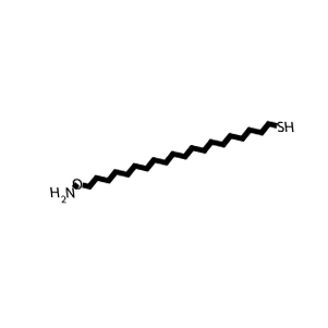 NOCCCCCCCCCCCCCCCCCCCCS